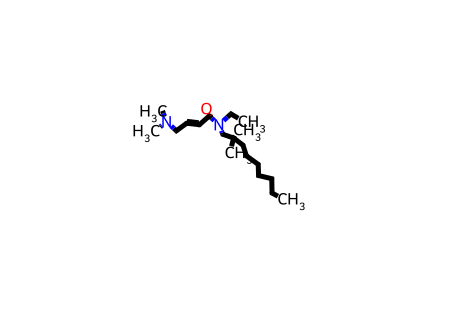 CCCCCCCC(C)(C)CN(CC)C(=O)/C=C/CN(C)C